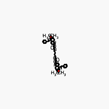 C/C=C1\C2C=C(C)CC1(/N=C/c1ccccc1)c1ccc(OC(=O)OCCCCOC(=O)Oc3ccc4c(n3)CC3C=C(C)CC4(/N=C/c4ccccc4)/C3=C/C)nc1C2